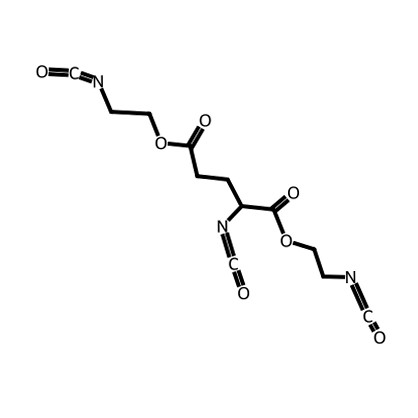 O=C=NCCOC(=O)CCC(N=C=O)C(=O)OCCN=C=O